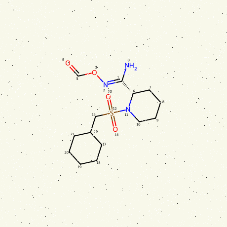 N/C(=N\OC=O)[C@@H]1CCCCN1S(=O)(=O)CC1CCCCC1